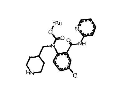 CC(C)(C)OC(=O)N(CC1CCNCC1)c1ccc(Cl)cc1C(=O)Nc1ccccn1